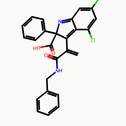 C=C(C(=O)NCc1ccccc1)C1=c2c(Cl)cc(Cl)cc2=NC1(C(=O)O)c1ccccc1